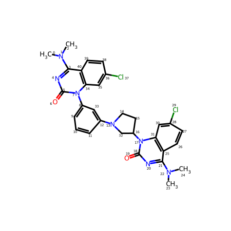 CN(C)c1nc(=O)n(-c2cccc(N3CCC(n4c(=O)nc(N(C)C)c5ccc(Cl)cc54)C3)c2)c2cc(Cl)ccc12